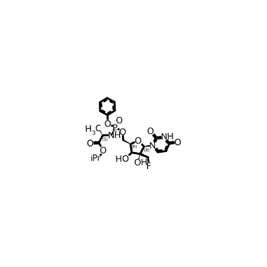 CC(C)OC(=O)[C@H](C)N[P@@](=O)(OC[C@H]1O[C@@H](n2ccc(=O)[nH]c2=O)[C@@](O)(CF)C1O)Oc1ccccc1